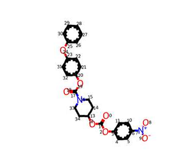 O=C(Oc1ccc([N+](=O)[O-])cc1)OC1CCN(C(=O)Oc2ccc(Oc3ccccc3)cc2)CC1